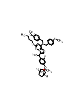 CCCCOc1nc(N(Cc2ccc(OC)cc2)Cc2ccc(OC)cc2)c2ncc(C(O)c3ccc(OC4C[C@H]5CC[C@@H](C4)N5CC)cc3F)n2n1